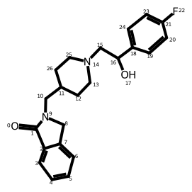 O=C1c2ccccc2CN1CC1CCN(CC(O)c2ccc(F)cc2)CC1